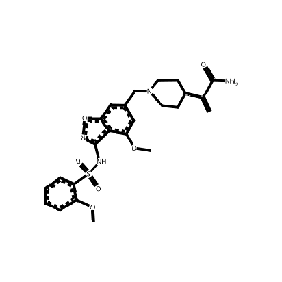 C=C(C(N)=O)C1CCN(Cc2cc(OC)c3c(NS(=O)(=O)c4ccccc4OC)noc3c2)CC1